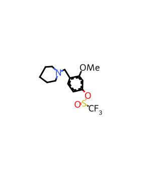 COc1cc(OS(=O)C(F)(F)F)ccc1CN1CCCCC1